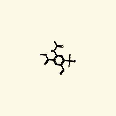 C=Cc1cc(C(=O)OC)c(NC(C)=O)cc1C(F)(F)F